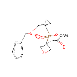 COC(=O)C1(S(=O)(=O)C2(COCc3ccccc3)CC2)COC1